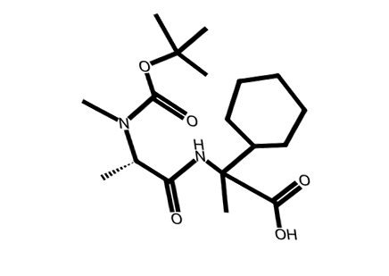 C[C@@H](C(=O)NC(C)(C(=O)O)C1CCCCC1)N(C)C(=O)OC(C)(C)C